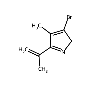 C=C(C)C1=NCC(Br)=C1C